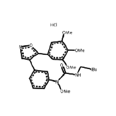 CCC(C)CNC(=O)N(OC)c1cccc(-c2cnoc2-c2cc(OC)c(OC)c(OC)c2)c1.Cl